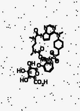 CNS(=O)(=O)CC1CCC(N(C)c2ncnc3c2ccn3C(=O)N(C)CCN(C)C(=O)OCc2ncccc2O[C@@H]2O[C@H](C(=O)O)[C@@H](O)[C@H](O)[C@H]2O)CC1